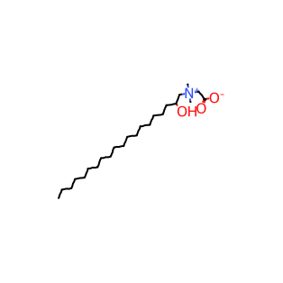 CCCCCCCCCCCCCCCCCCC(O)C[N+](C)(C)CC(=O)[O-]